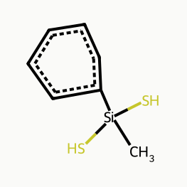 C[Si](S)(S)c1ccccc1